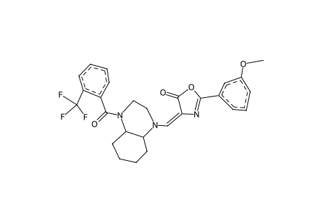 COc1cccc(C2=NC(=CN3CCN(C(=O)c4ccccc4C(F)(F)F)C4CCCCC43)C(=O)O2)c1